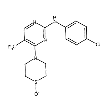 [O-][S+]1CCN(c2nc(Nc3ccc(Cl)cc3)ncc2C(F)(F)F)CC1